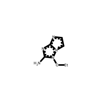 CCOn1c(N)nc2nccn21